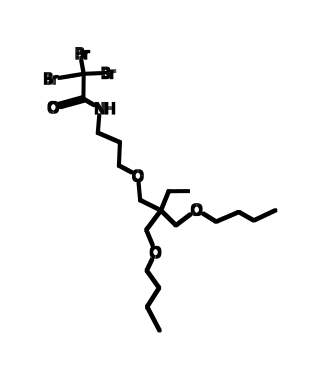 CCCCOCC(CC)(COCCCC)COCCCNC(=O)C(Br)(Br)Br